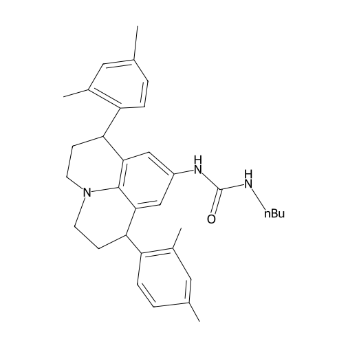 CCCCNC(=O)Nc1cc2c3c(c1)C(c1ccc(C)cc1C)CCN3CCC2c1ccc(C)cc1C